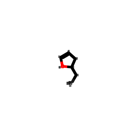 CCCCC1CC=CO1